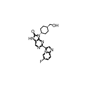 O=c1[nH]c2cnc(-c3cnc4ccc(F)cn34)nc2n1[C@H]1CC[C@H](CO)CC1